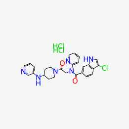 Cl.Cl.O=C(CN(C(=O)c1ccc2c(Cl)c[nH]c2c1)c1ccccn1)N1CCC(Nc2cccnc2)CC1